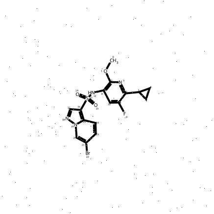 COc1nc(C2CC2)c(F)cc1NS(=O)(=O)c1cnn2cc(Br)ccc12